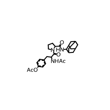 CC(=O)NC(Cc1ccc(OC(C)=O)cc1)C(=O)N1CCCC1C(=O)NC1C2CC3CC(C2)CC1C3